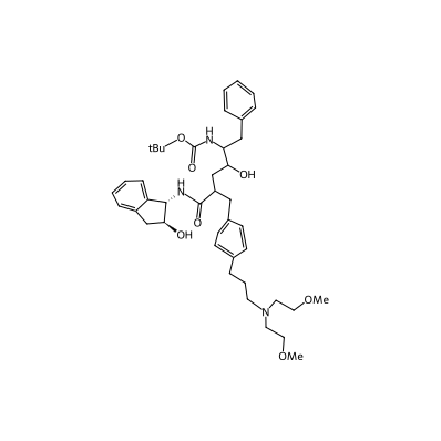 COCCN(CCCc1ccc(CC(CC(O)C(Cc2ccccc2)NC(=O)OC(C)(C)C)C(=O)N[C@H]2c3ccccc3C[C@@H]2O)cc1)CCOC